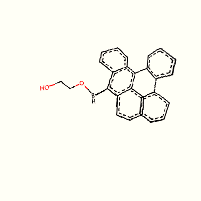 OCCOBc1c2ccccc2c(-c2ccccc2-c2ccccc2)c2ccccc12